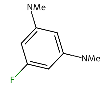 CNc1cc(F)cc(NC)c1